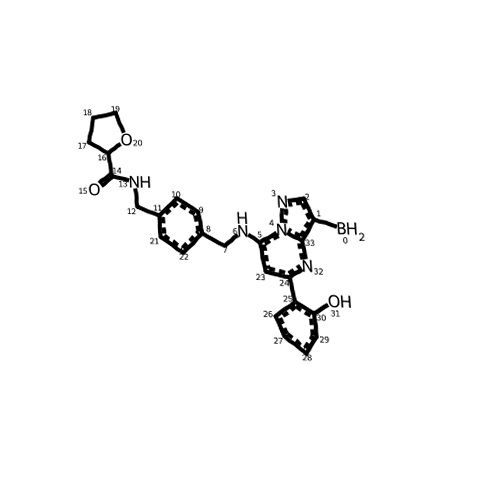 Bc1cnn2c(NCc3ccc(CNC(=O)C4CCCO4)cc3)cc(-c3ccccc3O)nc12